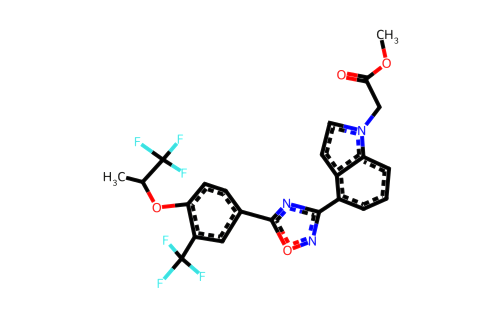 COC(=O)Cn1ccc2c(-c3noc(-c4ccc(OC(C)C(F)(F)F)c(C(F)(F)F)c4)n3)cccc21